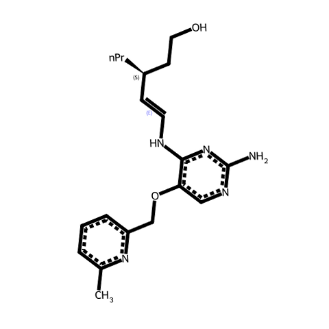 CCC[C@H](/C=C/Nc1nc(N)ncc1OCc1cccc(C)n1)CCO